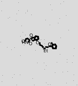 CCN(CCCCOc1cccc2c1CN(C1CCC(=O)NC1=O)C2=O)CC[C@H]1OCc2ccccc21